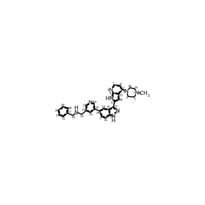 CN1CCN(c2ccnc3[nH]c(-c4n[nH]c5ccc(-c6cncc(CNCc7ccccc7)c6)cc45)cc23)CC1